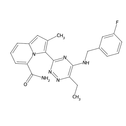 CCc1nnc(-c2c(C)cc3cccc(C(N)=O)n23)nc1NCc1cccc(F)c1